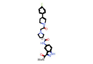 CNC(=O)c1n[nH]c2ccc(NC(=O)[C@@H]3CCN(CC(=O)N4CC=C(c5ccc(F)cc5)CC4)C3)cc12